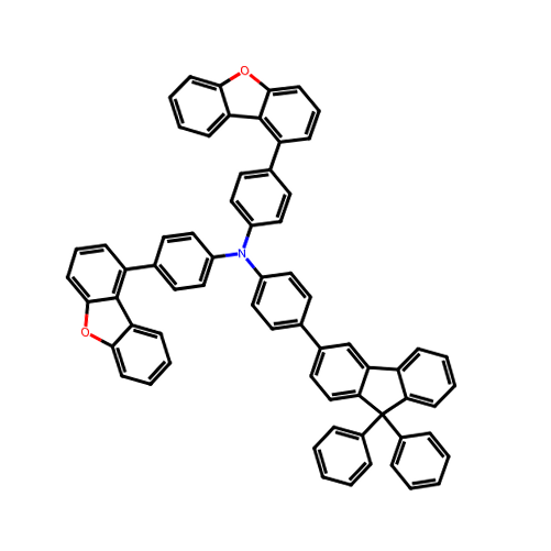 c1ccc(C2(c3ccccc3)c3ccccc3-c3cc(-c4ccc(N(c5ccc(-c6cccc7oc8ccccc8c67)cc5)c5ccc(-c6cccc7oc8ccccc8c67)cc5)cc4)ccc32)cc1